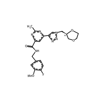 COc1cc(CNC(=O)c2cc(-c3cn(C[C@@H]4COCCO4)nn3)nc(C)n2)ccc1F